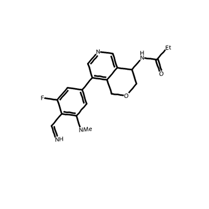 CCC(=O)NC1COCc2c(-c3cc(F)c(C=N)c(NC)c3)cncc21